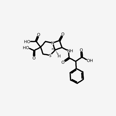 O=C(O)C(C(=O)NC1C(=O)N2CC(C(=O)O)(C(=O)O)CS[C@H]12)c1ccccc1